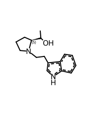 CC(O)[C@@H]1CCCN1CCc1c[nH]c2ccccc12